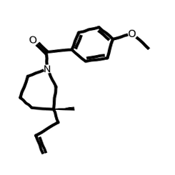 C=CC[C@]1(C)CCCN(C(=O)c2ccc(OC)cc2)C1